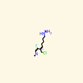 C=N/C=C(F)\C(=C/CCCCNN)CCl